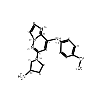 CCOc1ccc(Nc2cc(N3CCC(N)C3)nn3ccnc23)cc1